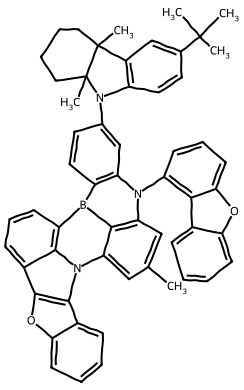 Cc1cc2c3c(c1)-n1c4c(cccc4c4oc5ccccc5c41)B3c1ccc(N3c4ccc(C(C)(C)C)cc4C4(C)CCCCC34C)cc1N2c1cccc2oc3ccccc3c12